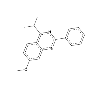 COc1ccc2c(C(C)C)nc(-c3ccccc3)nc2c1